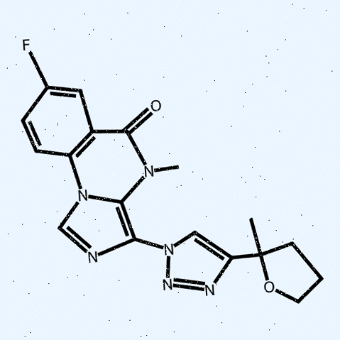 Cn1c(=O)c2cc(F)ccc2n2cnc(-n3cc(C4(C)CCCO4)nn3)c12